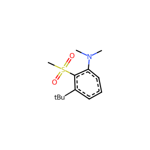 CN(C)c1cccc(C(C)(C)C)c1S(C)(=O)=O